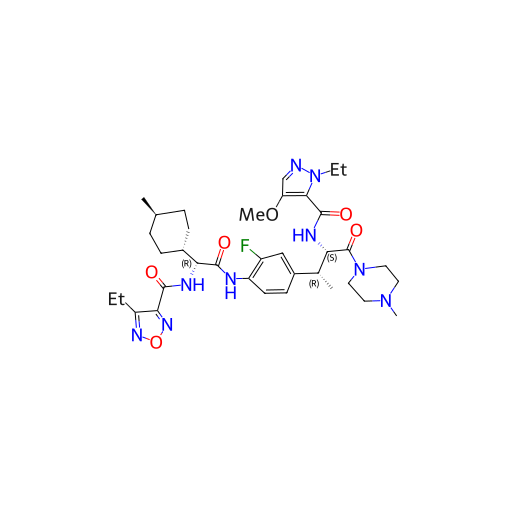 CCc1nonc1C(=O)N[C@@H](C(=O)Nc1ccc([C@@H](C)[C@H](NC(=O)c2c(OC)cnn2CC)C(=O)N2CCN(C)CC2)cc1F)[C@H]1CC[C@H](C)CC1